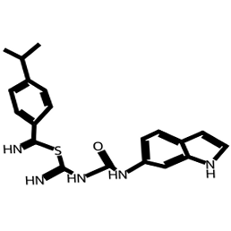 CC(C)c1ccc(C(=N)SC(=N)NC(=O)Nc2ccc3cc[nH]c3c2)cc1